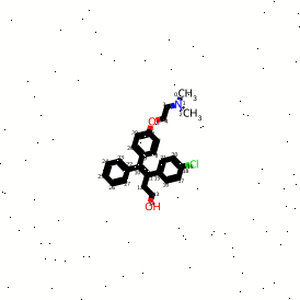 CN(C)CCOc1ccc(C(=C(CCO)c2ccc(Cl)cc2)c2ccccc2)cc1